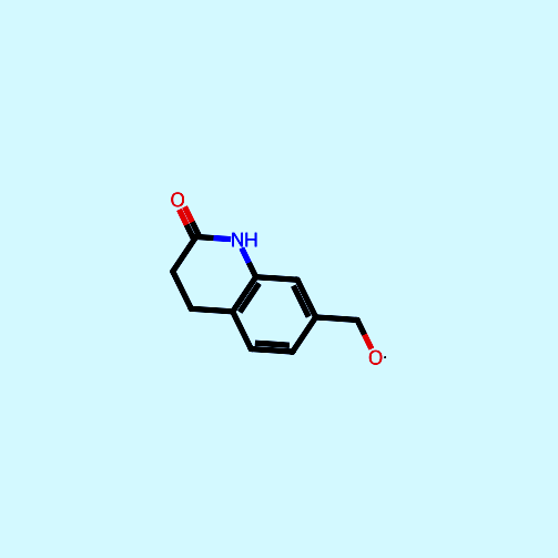 [O]Cc1ccc2c(c1)NC(=O)CC2